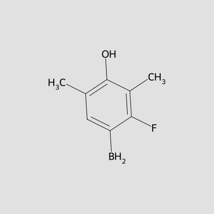 Bc1cc(C)c(O)c(C)c1F